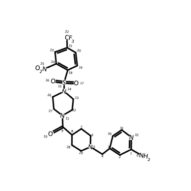 Nc1cc(CN2CCC(C(=O)N3CCN(S(=O)(=O)c4ccc(C(F)(F)F)cc4[N+](=O)[O-])CC3)CC2)ccn1